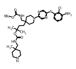 CC1(CNC(=O)OC(C)(C)CCC2(CNC(=O)OC(C)(C)C)CCN(c3cnc(Sc4cccc(N)c4Cl)cn3)CC2)CCNCC1